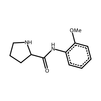 COc1ccccc1NC(=O)C1CCCN1